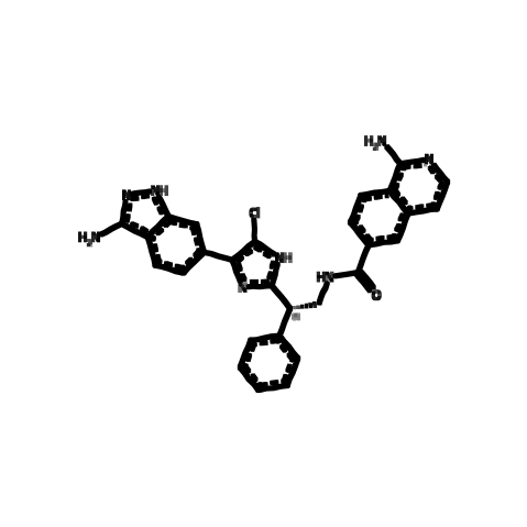 Nc1nccc2cc(C(=O)NC[C@H](c3ccccc3)c3nc(-c4ccc5c(N)n[nH]c5c4)c(Cl)[nH]3)ccc12